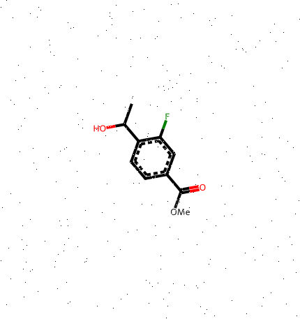 COC(=O)c1ccc(C(C)O)c(F)c1